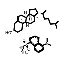 CC(C)CCCC(C)[C@H]1CC[C@H]2[C@@H]3CC=C4C[C@@H](O)CC[C@]4(C)[C@H]3CC[C@]12C.CN(C)c1cccc2c(S(=O)(=O)NN)cccc12